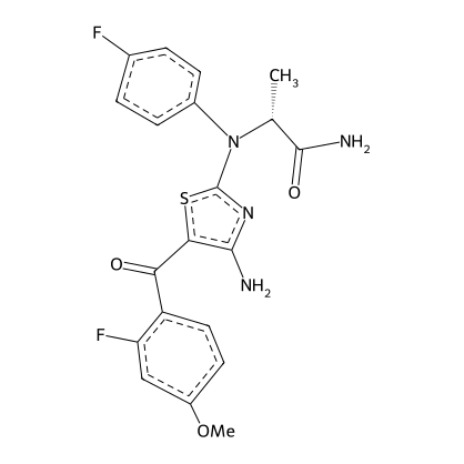 COc1ccc(C(=O)c2sc(N(c3ccc(F)cc3)[C@H](C)C(N)=O)nc2N)c(F)c1